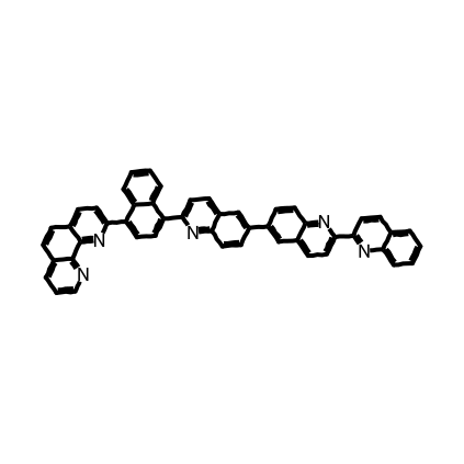 c1ccc2nc(-c3ccc4cc(-c5ccc6nc(-c7ccc(-c8ccc9ccc%10cccnc%10c9n8)c8ccccc78)ccc6c5)ccc4n3)ccc2c1